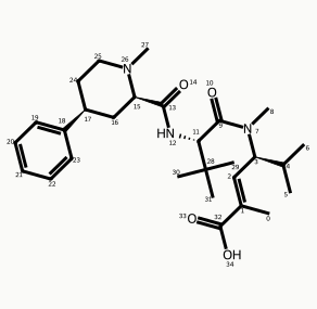 C/C(=C\[C@H](C(C)C)N(C)C(=O)[C@@H](NC(=O)[C@H]1C[C@@H](c2ccccc2)CCN1C)C(C)(C)C)C(=O)O